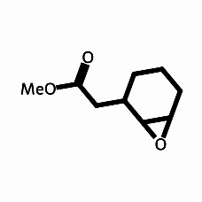 COC(=O)CC1CCCC2OC12